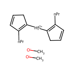 CCCC1=[C]([Hf+2][C]2=C(CCC)C=CC2)CC=C1.C[O-].C[O-]